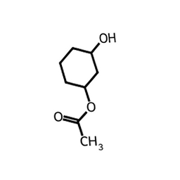 CC(=O)OC1CCCC(O)C1